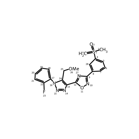 C=S(C)(=O)c1cccc(-c2noc(-c3nnn(-c4ccccc4F)c3COC)n2)c1